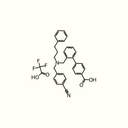 N#Cc1ccc(CN(CCCc2ccccc2)Cc2ccccc2-c2ccc(C(=O)O)cc2)cc1.O=C(O)C(F)(F)F